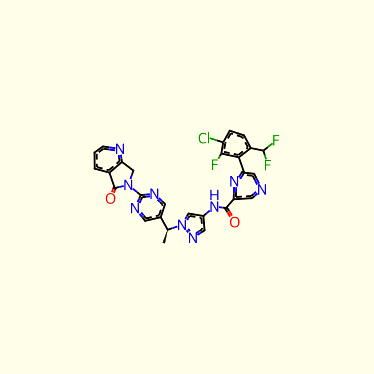 C[C@@H](c1cnc(N2Cc3ncccc3C2=O)nc1)n1cc(NC(=O)c2cncc(-c3c(C(F)F)ccc(Cl)c3F)n2)cn1